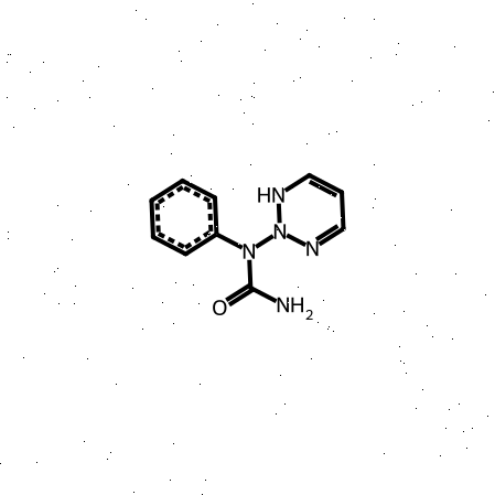 NC(=O)N(c1ccccc1)N1N=CC=CN1